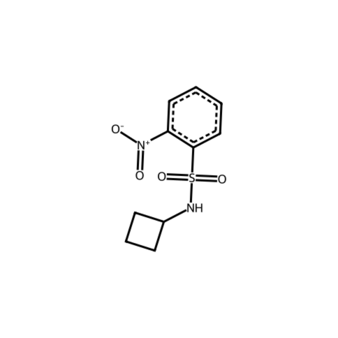 O=[N+]([O-])c1ccccc1S(=O)(=O)NC1CCC1